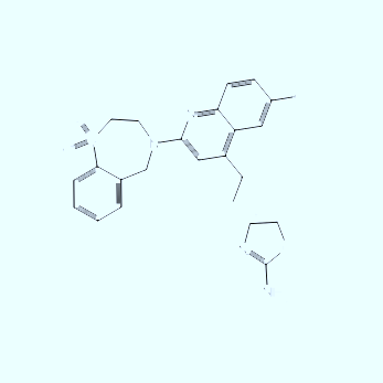 Cc1ccc2nc(N3CCS(=O)(=O)c4ccccc4C3)cc(CC[C@@H]3COC(N)=N3)c2c1